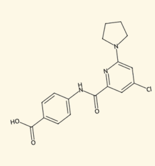 O=C(O)c1ccc(NC(=O)c2cc(Cl)cc(N3CCCC3)n2)cc1